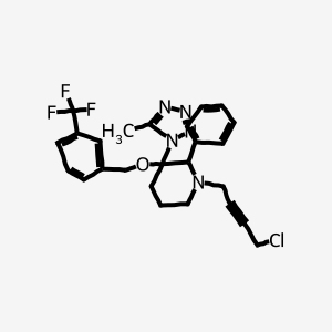 Cc1nnnn1C1(OCc2cccc(C(F)(F)F)c2)CCCN(CC#CCCl)C1c1ccccc1